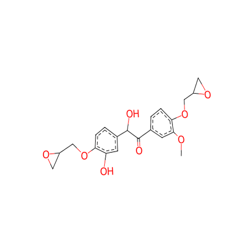 COc1cc(C(=O)C(O)c2ccc(OCC3CO3)c(O)c2)ccc1OCC1CO1